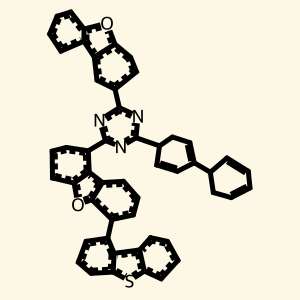 C1=CCC(C2=CCC(c3nc(-c4ccc5oc6ccccc6c5c4)nc(-c4cccc5oc6c(-c7cccc8sc9ccccc9c78)cccc6c45)n3)C=C2)C=C1